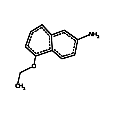 CCOc1cccc2cc(N)ccc12